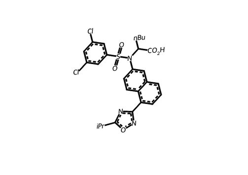 CCCCC(C(=O)O)N(c1ccc2c(-c3noc(C(C)C)n3)cccc2c1)S(=O)(=O)c1cc(Cl)cc(Cl)c1